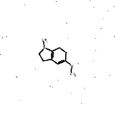 COC1=CC2=C(CC1)N(C)CC2